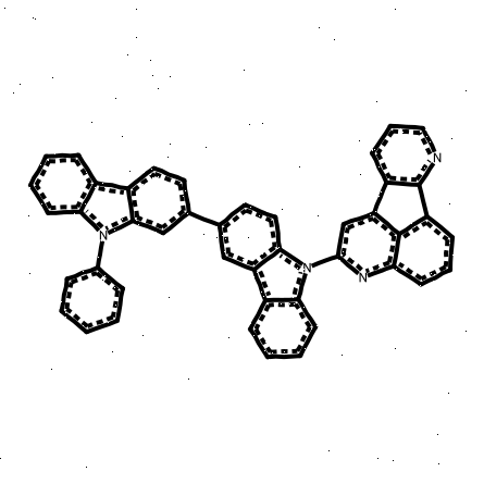 c1ccc(-n2c3ccccc3c3ccc(-c4ccc5c(c4)c4ccccc4n5-c4cc5c6c(cccc6n4)-c4ncccc4-5)cc32)cc1